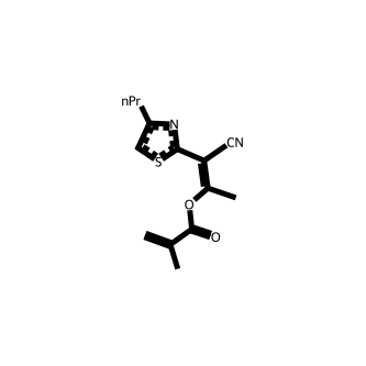 C=C(C)C(=O)O/C(C)=C(/C#N)c1nc(CCC)cs1